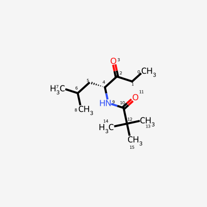 CCC(=O)[C@@H](CC(C)C)NC(=O)C(C)(C)C